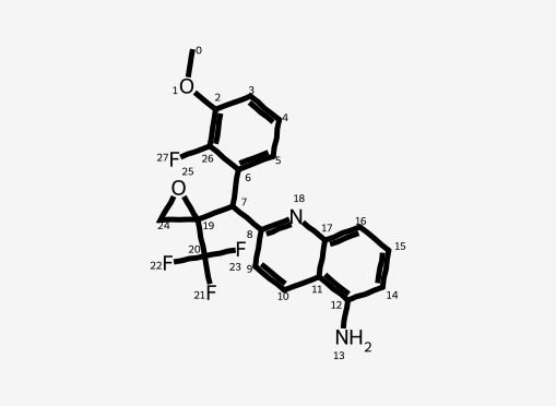 COc1cccc(C(c2ccc3c(N)cccc3n2)C2(C(F)(F)F)CO2)c1F